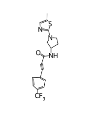 Cc1cnc(N2CCC(NC(=O)C#Cc3ccc(C(F)(F)F)cc3)C2)s1